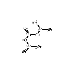 CC(C)P([O][Ti](=[O])[O]P(C(C)C)C(C)C)C(C)C